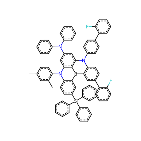 Cc1ccc(N2c3ccc([Si](c4ccccc4)(c4ccccc4)c4ccccc4)cc3B3c4cc(-c5ccccc5F)ccc4N(c4ccc(-c5ccccc5F)cc4)c4cc(N(c5ccccc5)c5ccccc5)cc2c43)c(C)c1